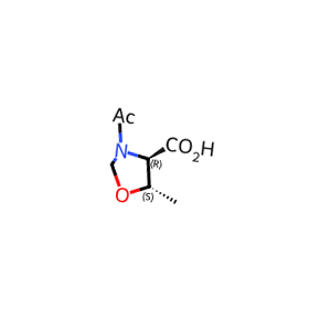 CC(=O)N1CO[C@@H](C)[C@@H]1C(=O)O